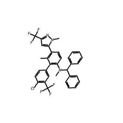 Cc1c(-c2cc(C(F)(F)F)nn2C)ccc(N(C)C(c2ccccc2)c2ccccc2)c1-c1ccc(Cl)c(C(F)(F)F)c1